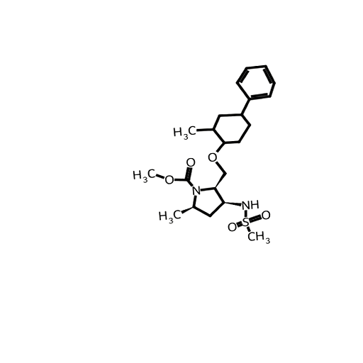 COC(=O)N1[C@H](C)C[C@H](NS(C)(=O)=O)[C@@H]1COC1CCC(c2ccccc2)CC1C